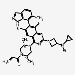 C=CC(=O)N1C[C@H](C)N(c2nc(N3CC(N(CC)C4CC4)C3)nc3c(F)c(-c4c(C)ccc5cn[nH]c45)c(Cl)cc23)C[C@H]1C